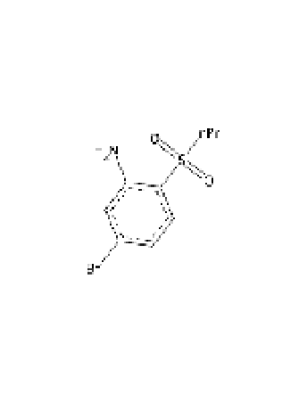 CCCS(=O)(=O)c1ccc(Br)cc1N